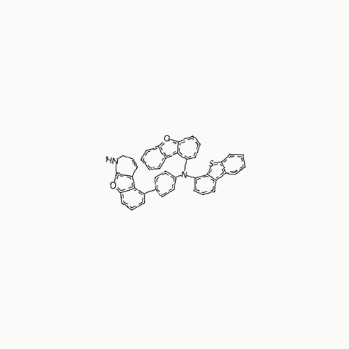 C1=Cc2c(oc3cccc(-c4ccc(N(c5cccc6c5sc5ccccc56)c5cccc6oc7ccccc7c56)cc4)c23)NC1